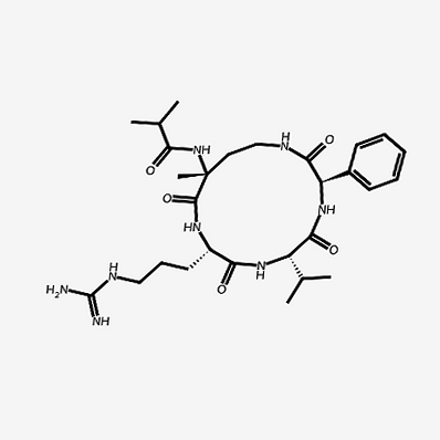 CC(C)C(=O)N[C@]1(C)CCNC(=O)[C@@H](c2ccccc2)NC(=O)[C@H](C(C)C)NC(=O)[C@H](CCCNC(=N)N)NC1=O